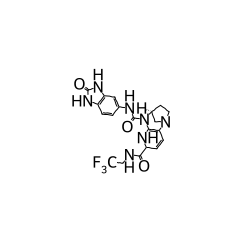 O=C(NCC(F)(F)F)C1C=CC2=C(N1)N(C(=O)Nc1ccc3[nH]c(=O)[nH]c3c1)[C@H]1CCN2C1